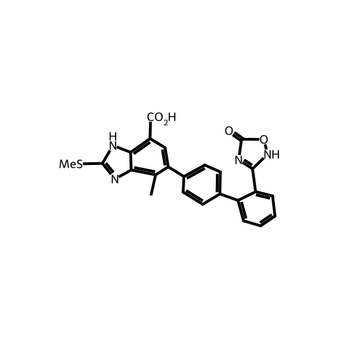 CSc1nc2c(C)c(-c3ccc(-c4ccccc4-c4nc(=O)o[nH]4)cc3)cc(C(=O)O)c2[nH]1